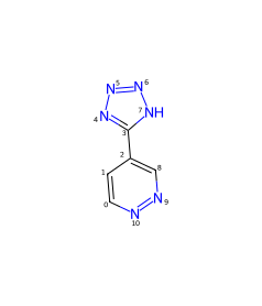 c1cc(-c2nnn[nH]2)cnn1